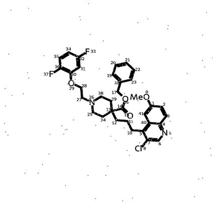 COc1ccc2ncc(Cl)c(CCCC3(C(=O)OCc4ccccc4)CCN(CCOc4cc(F)ccc4F)CC3)c2c1